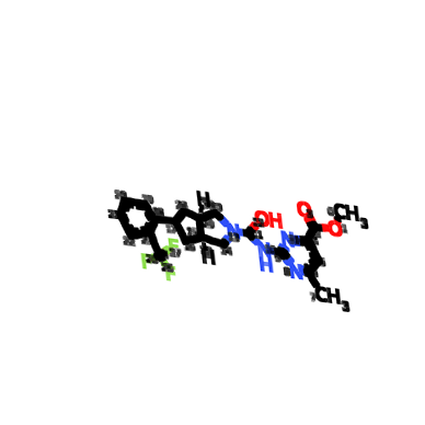 COC(=O)c1cc(C)nc(NC(O)N2C[C@H]3CC(c4ccccc4C(F)(F)F)C[C@H]3C2)n1